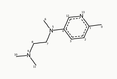 Cc1ccc(N(C)CCN(C)C)cn1